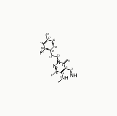 C=C1C(C=N)=C(NC)C(C)=NN1CCc1ccc(C)cc1F